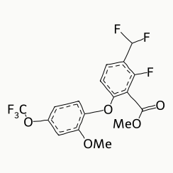 COC(=O)c1c(Oc2ccc(OC(F)(F)F)cc2OC)ccc(C(F)F)c1F